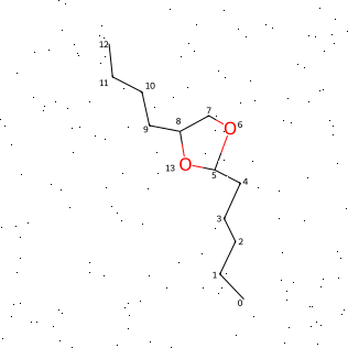 CCCCCC1OCC(CCCC)O1